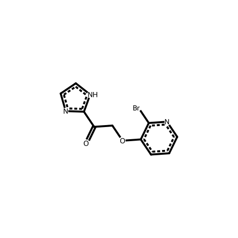 O=C(COc1cccnc1Br)c1ncc[nH]1